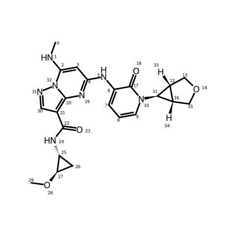 CNc1cc(Nc2cccn([C@H]3[C@@H]4COC[C@@H]43)c2=O)nc2c(C(=O)N[C@@H]3C[C@H]3OC)cnn12